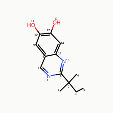 CCC(C)(C)c1ncc2cc(O)c(O)cc2n1